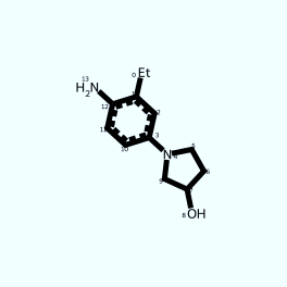 CCc1cc(N2CCC(O)C2)ccc1N